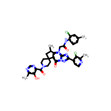 Cc1ncnc(C(=O)N2CCC3(CC2)CC(C)c2c3c(=O)n3nc(-c4ccnc(C)c4Cl)nc3n2CC(=O)Nc2ccc(C(F)(F)F)cc2Cl)c1O